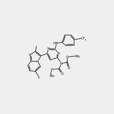 Cc1nc2ccc(F)cn2c1-c1cc(N(C(=O)OC(C)(C)C)C(=O)OC(C)(C)C)nc(Nc2ccc(C(F)(F)F)cc2)n1